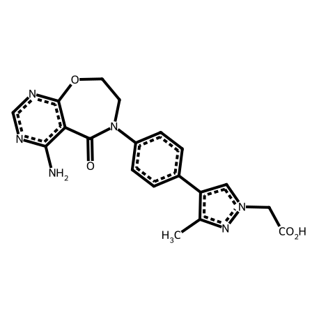 Cc1nn(CC(=O)O)cc1-c1ccc(N2CCOc3ncnc(N)c3C2=O)cc1